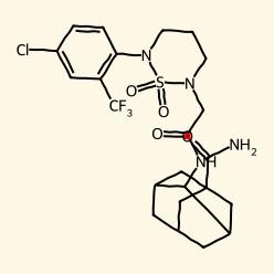 NC(=O)C12CC3CC(C1)C(NC(=O)CN1CCCN(c4ccc(Cl)cc4C(F)(F)F)S1(=O)=O)C(C3)C2